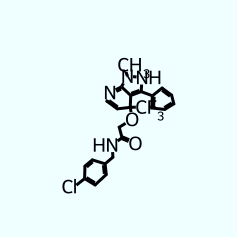 CN1NC(c2ccccc2)=C2C1=NC=CC2(OCC(=O)NCc1ccc(Cl)cc1)C(F)(F)F